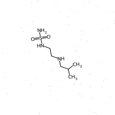 CC(C)CNCCNS(N)(=O)=O